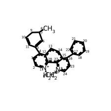 [CH2-][n+]1ccc(C2=CC(C)CC=C2)c2ccc3c(-c4ccccc4)cc[n+]([CH2-])c3c21